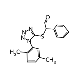 Cc1ccc(C)c(-n2nnnc2SC(C=O)c2ccccc2)c1